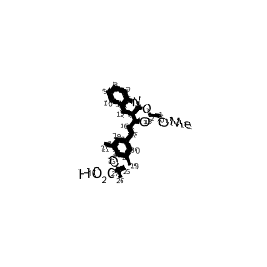 COCCOc1nc2ccccc2cc1C(=O)C=Cc1cc(C)c(OC(C)(C)C(=O)O)c(C)c1